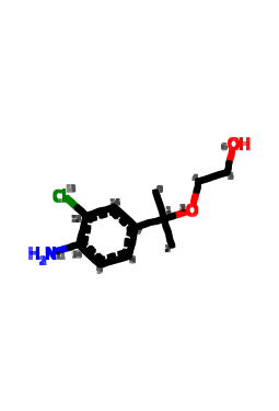 CC(C)(OCCO)c1ccc(N)c(Cl)c1